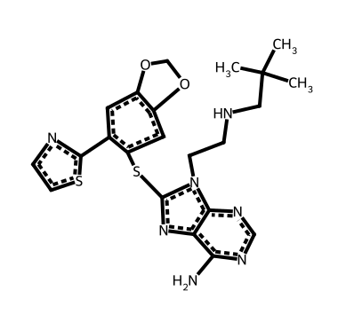 CC(C)(C)CNCCn1c(Sc2cc3c(cc2-c2nccs2)OCO3)nc2c(N)ncnc21